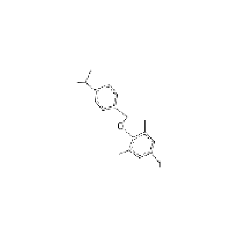 Cc1cc(I)cc(C)c1OCc1ccc(C(C)C)cc1